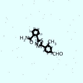 Cc1cc(C=O)ccc1-c1nnc(-c2ccccc2C(N)=O)s1